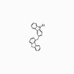 CCn1c2ccccc2c2cc(Cc3cccc4c3-c3ccccc3C4)ccc21